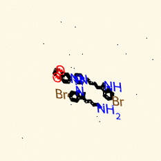 Brc1ccc2c(CCCCN3CCN(c4ccc5c(c4)OCCO5)CC3)c[nH]c2c1.NCCCCc1c[nH]c2cc(Br)ccc12